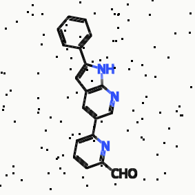 O=Cc1cccc(-c2cnc3[nH]c(-c4ccccc4)cc3c2)n1